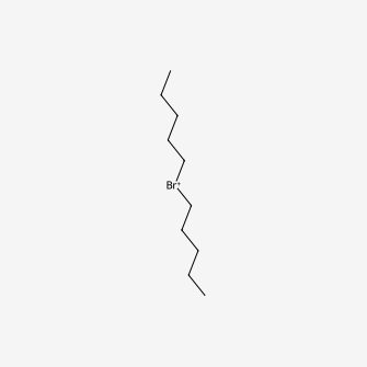 CCCCC[Br+]CCCCC